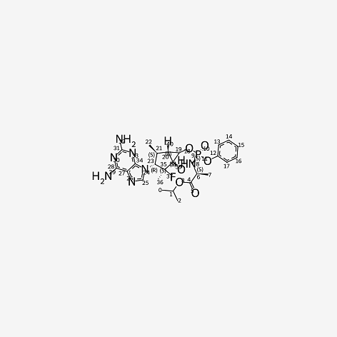 CC(C)OC(=O)[C@H](C)N[P@@](=O)(Oc1ccccc1)OC1[C@H]2[C@H](C)[C@@H](n3cnc4c(N)nc(N)nc43)[C@](C)(F)[C@@]12O